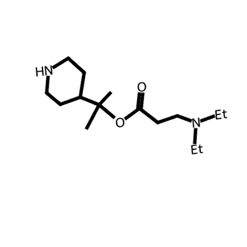 CCN(CC)CCC(=O)OC(C)(C)C1CCNCC1